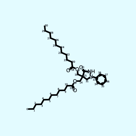 CCCCCCCCCCCC(=O)OCC1(COC(=O)CCCCCCCCCCC)CN(c2ccccc2)NC1=O